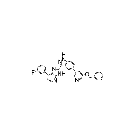 Fc1cccc(-c2ccnc3[nH]c(-c4n[nH]c5ccc(-c6cncc(OCc7ccccc7)c6)cc45)nc23)c1